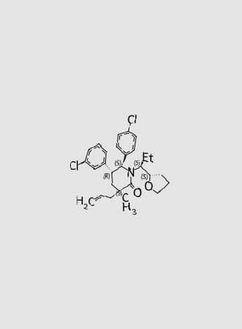 C=CC[C@@]1(C)C[C@H](c2cccc(Cl)c2)[C@@H](c2ccc(Cl)cc2)N([C@@H](CC)[C@@H]2CCCO2)C1=O